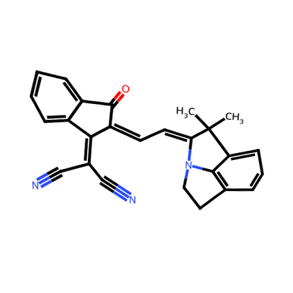 CC1(C)/C(=C/C=C2\C(=O)c3ccccc3C2=C(C#N)C#N)N2CCc3cccc1c32